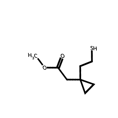 COC(=O)CC1(CCS)CC1